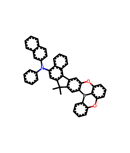 CC1(C)c2cc3c(cc2-c2c1cc(N(c1ccccc1)c1ccc4ccccc4c1)c1ccccc21)Oc1cccc2c1B3c1ccccc1O2